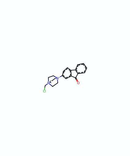 O=C1c2ccccc2-c2ccc([N+]34CC[N+](CCl)(CC3)CC4)cc21